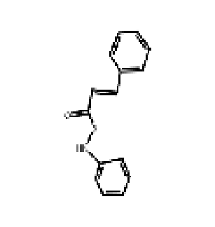 O=C(/C=C/c1ccccc1)SNc1ccccc1